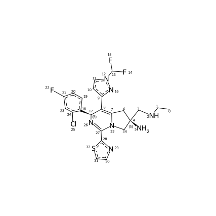 CCNC[C@@]1(N)CC2=C(c3ccn(C(F)F)n3)[C@H](c3ccc(F)cc3Cl)N=C(c3nccs3)N2C1